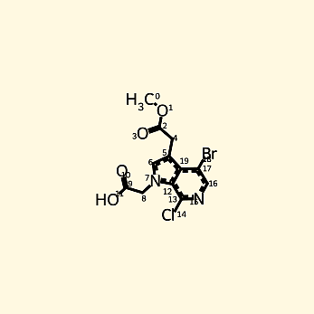 COC(=O)Cc1cn(CC(=O)O)c2c(Cl)ncc(Br)c12